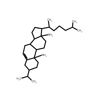 CC(C)CCCC(C)C1CCC2C3CC=C4CC(C(C)C)CCC4(N)C3CCC12N